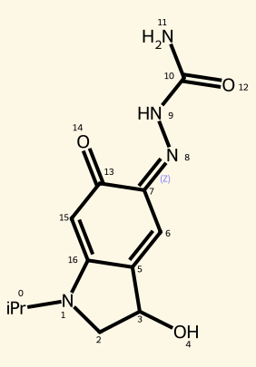 CC(C)N1CC(O)C2=C/C(=N/NC(N)=O)C(=O)C=C21